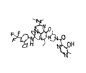 CCc1c(N2CCN(C(=O)c3ncnc(C)c3O)CC2C)c(=O)c2nc(N(C)C)cnc2n1CC(=O)Nc1ccc(C(F)(F)F)cc1Cl